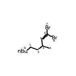 CCCCCCC(C)C=C(Br)Br